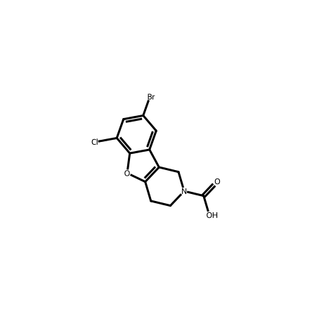 O=C(O)N1CCc2oc3c(Cl)cc(Br)cc3c2C1